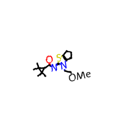 COCCn1c2c(sc1=NC(=O)C1C(C)(C)C1(C)C)CCC2